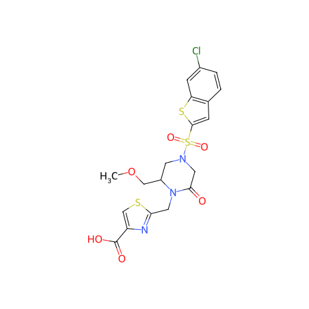 COCC1CN(S(=O)(=O)c2cc3ccc(Cl)cc3s2)CC(=O)N1Cc1nc(C(=O)O)cs1